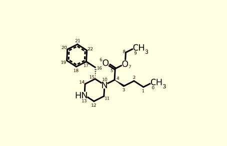 CCCC[C@H](C(=O)OCC)N1CCNC[C@@H]1Cc1ccccc1